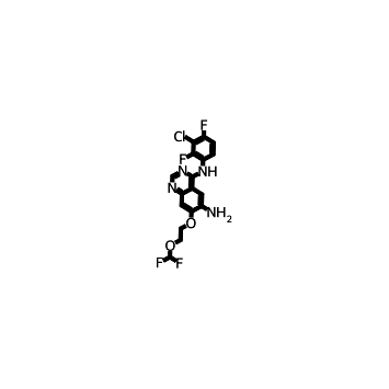 Nc1cc2c(Nc3ccc(F)c(Cl)c3F)ncnc2cc1OCCOC(F)F